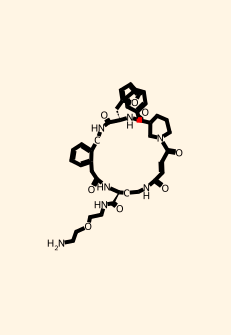 NCCOCCNC(=O)[C@@H]1CCNC(=O)/C=C/C(=O)N2CCC[C@@](Cc3ccccc3)(C2)C(=O)N[C@@H](Cc2ccco2)C(=O)NCc2ccccc2CC(=O)N1